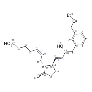 CCOCc1cccc(C[C@@H](O)/C=C/[C@H]2CCC(=O)[C@@H]2C/C=C\CCCC(=O)O)c1